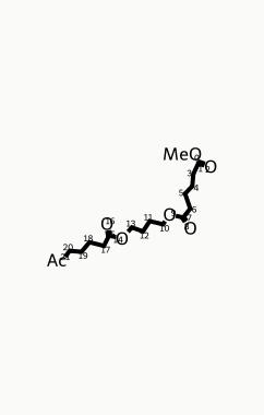 COC(=O)CCCCC(=O)OCCCCOC(=O)CCCCC(C)=O